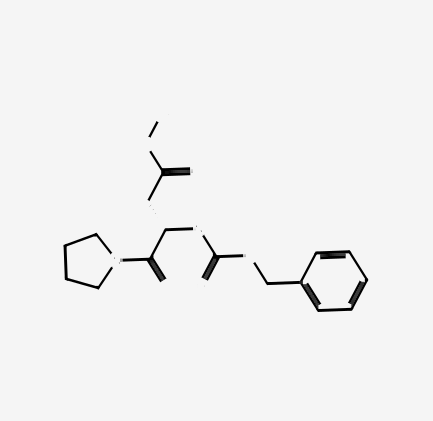 CC(C)(C)OC(=O)C[C@H](NC(=O)OCc1ccccc1)C(=O)N1CCCC1